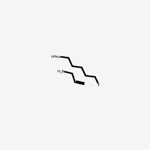 C=CCN.CCCCCCCCCCCF